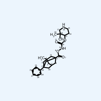 CC12CC3CC(C(=O)ONC(=O)OC4CCNCC4(C)C)(C1)CC(c1ccccc1)(C3)C2